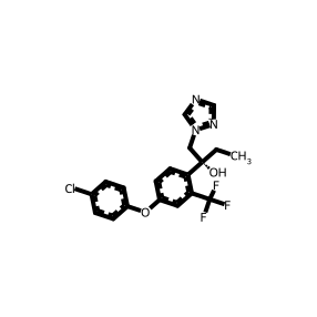 CC[C@](O)(Cn1cncn1)c1ccc(Oc2ccc(Cl)cc2)cc1C(F)(F)F